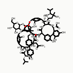 CN[C@H](CC(C)C)C(=O)N[C@H]1C(=O)N[C@@H](CC(N)=O)C(=O)N[C@H]2C(=O)N[C@H]3C(=O)N[C@H](C(=O)N[C@H](C(=O)O)c4cc(O)cc(O)c4-c4cc3ccc4O)[C@H](O[C@H](O)CC(C)(N)[C@@H](O)C(C)C)c3ccc(c(Cl)c3)Oc3cc2cc(c3O[C@@H]2OC(CO)[C@@H](O)[C@H](O)C2O[C@@H]2CC(C)(NCc3ccc(-c4ccc(Cl)cc4)cc3)[C@H](O)[C@H](C)O2)Oc2ccc(cc2Cl)[C@@H]1O